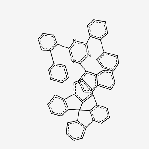 c1ccc(-c2ccccc2-c2nc(-c3ccccc3-c3ccccc3)nc(-c3ccc(-c4cccc5c4C4(c6ccccc6-c6ccccc64)c4ccccc4-5)c4ccccc34)n2)cc1